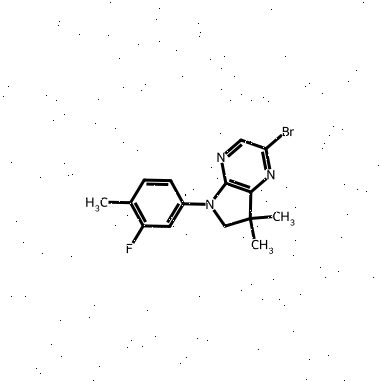 Cc1ccc(N2CC(C)(C)c3nc(Br)cnc32)cc1F